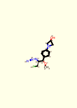 CO[C@H](c1ccc(N2CC(O)C2)cc1)[C@@H](CF)N=[N+]=[N-]